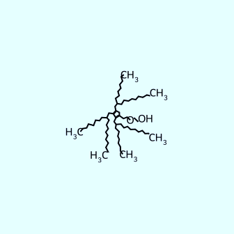 CCCCCCCCCCC(CCCCCCCC)CC1=C(CC(CCCCCCCC)CCCCCCCCCC)C(CC(CCCCCCCC)CCCCCCCCCC)=C(CCOCCO)C1